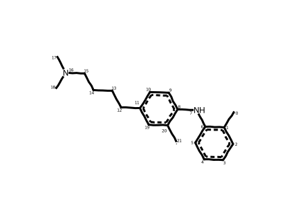 [CH2]c1ccccc1Nc1ccc(CCCCN(C)C)cc1[CH2]